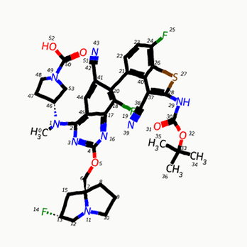 CN(c1nc(OC[C@@]23CCCN2C[C@H](F)C3)nc2c(F)c(-c3ccc(F)c4sc(NC(=O)OC(C)(C)C)c(C#N)c34)c(C#N)cc12)[C@@H]1CCN(C(=O)O)C1